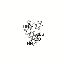 CC(C)(C)OC(=O)N1C2CCC1(c1ccc3c(c1)CCC(NC(=O)OCc1ccccc1)C3)CNC2